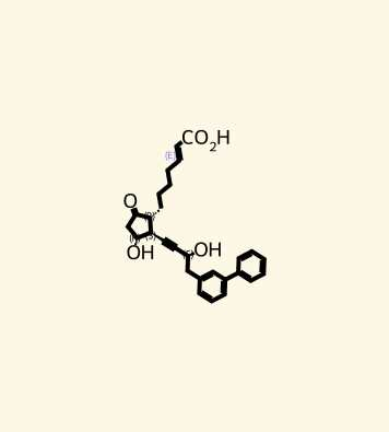 O=C(O)/C=C/CCCC[C@H]1C(=O)C[C@@H](O)[C@@H]1C#C[C@@H](O)Cc1cccc(-c2ccccc2)c1